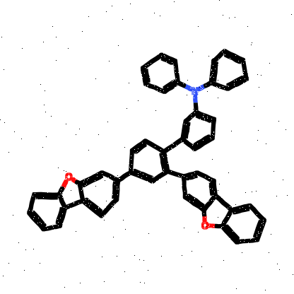 c1ccc(N(c2ccccc2)c2cccc(-c3ccc(-c4ccc5c(c4)oc4ccccc45)cc3-c3ccc4c(c3)oc3ccccc34)c2)cc1